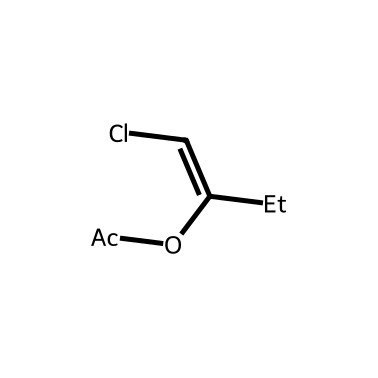 CCC(=CCl)OC(C)=O